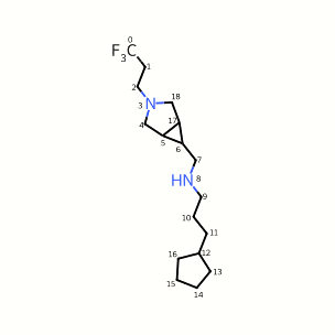 FC(F)(F)CCN1CC2C(CNCCCC3CCCC3)C2C1